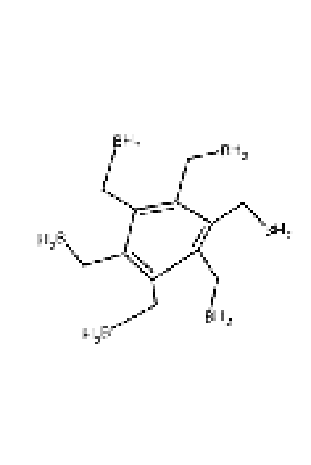 BCc1c(CB)c(CB)c(CB)c(CB)c1CB